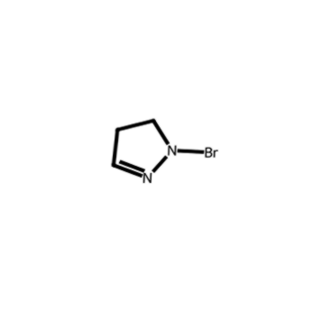 BrN1CCC=N1